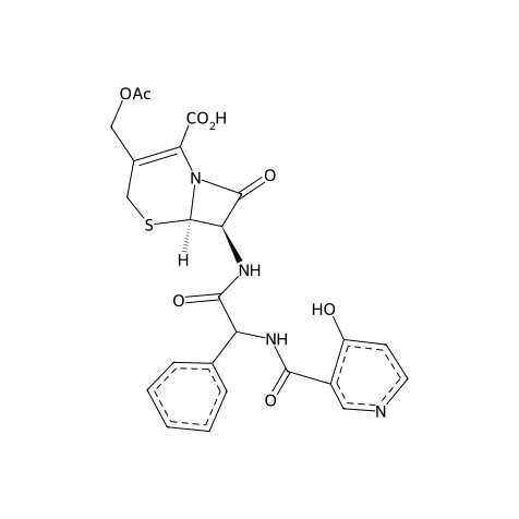 CC(=O)OCC1=C(C(=O)O)N2C(=O)[C@@H](NC(=O)C(NC(=O)c3cnccc3O)c3ccccc3)[C@H]2SC1